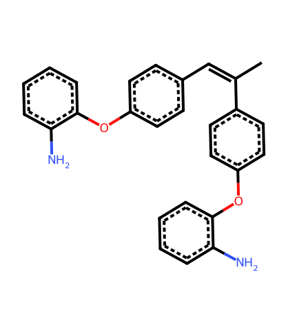 CC(=Cc1ccc(Oc2ccccc2N)cc1)c1ccc(Oc2ccccc2N)cc1